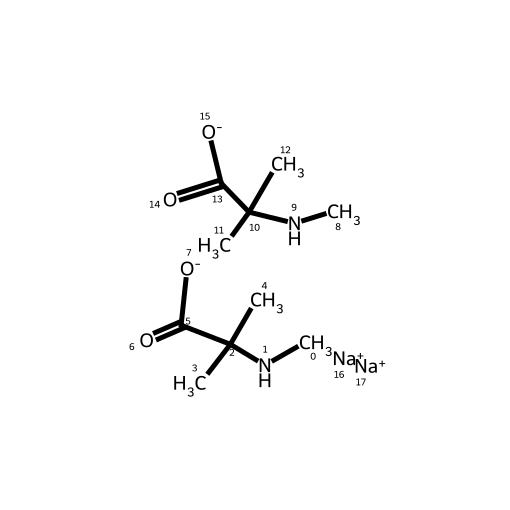 CNC(C)(C)C(=O)[O-].CNC(C)(C)C(=O)[O-].[Na+].[Na+]